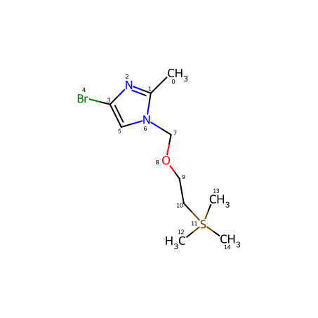 Cc1nc(Br)cn1COCCS(C)(C)C